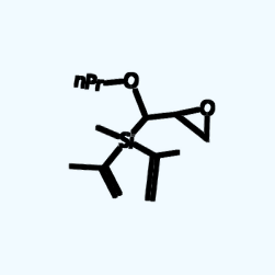 C=C(C)[Si](C)(C(=C)C)C(OCCC)C1CO1